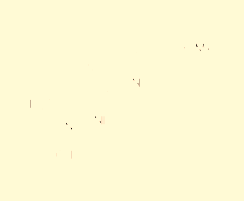 COCc1csc(NN(C)C)n1